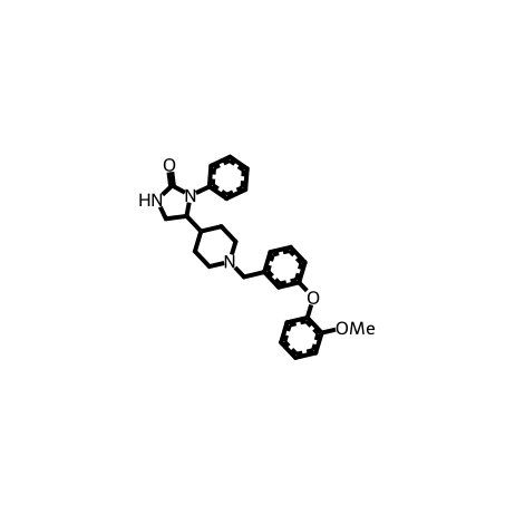 COc1ccccc1Oc1cccc(CN2CCC(C3CNC(=O)N3c3ccccc3)CC2)c1